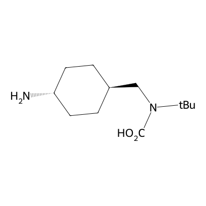 CC(C)(C)N(C[C@H]1CC[C@H](N)CC1)C(=O)O